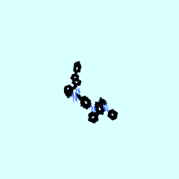 c1ccc(-c2ccc3cc(-c4nc(-c5ccc(-n6c7ccccc7c7cc8c(ccn8-c8ccccc8)cc76)cc5)nc5ccccc45)ccc3c2)cc1